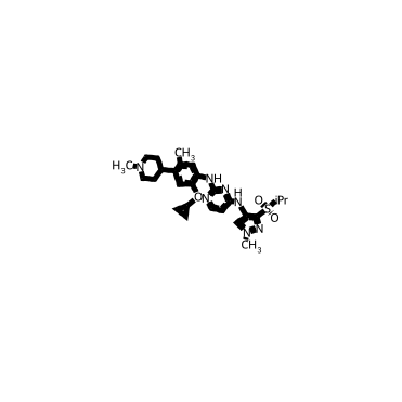 Cc1cc(Nc2nccc(Nc3cn(C)nc3S(=O)(=O)C(C)C)n2)c(OC2CC2)cc1C1CCN(C)CC1